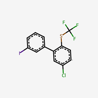 FC(F)(F)Sc1c[c]c(Cl)cc1-c1cccc(I)c1